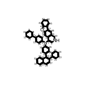 C1=C(N(c2ccc(-c3ccccc3)cc2)c2ccc(-c3c(-c4ccccc4)ccc4ccccc34)cc2)c2cc3oc4ccccc4c3cc2CN1